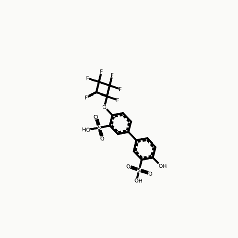 O=S(=O)(O)c1cc(-c2ccc(OC3(F)C(F)C(F)(F)C3(F)F)c(S(=O)(=O)O)c2)ccc1O